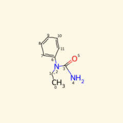 C[CH]N(C(N)=O)c1ccccc1